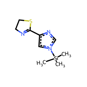 C[Si](C)(C)n1cnc(C2=NCCS2)c1